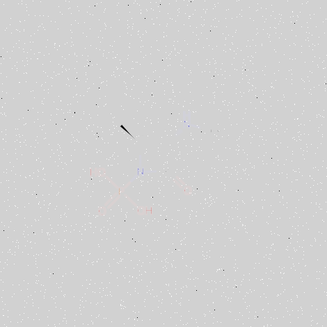 C[C@H]1[C@H](NC(=O)O)C(=O)N1P(=O)(O)O